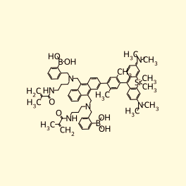 C=C(C)C(=O)NCCCN(Cc1ccccc1B(O)O)Cc1c2ccccc2c(CN(CCCNC(=O)C(=C)C)Cc2ccccc2B(O)O)c2cc(-c3cc(C)c(C4=C5C=CC(=[N+](C)C)C=C5[Si](C)(C)c5cc(N(C)C)ccc54)cc3C)ccc12